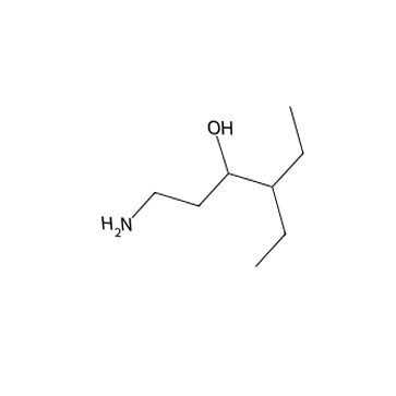 CCC(CC)C(O)CCN